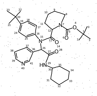 CC(C)(C)OC(=O)N1CCCCC1C(=O)N(c1ccc(C(C)(C)C)cc1)C(C(=O)NC1CCCCC1)c1cccnc1